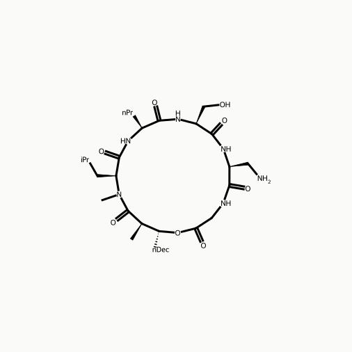 CCCCCCCCCC[C@H]1OC(=O)CNC(=O)[C@H](CN)NC(=O)[C@H](CO)NC(=O)[C@H](CCC)NC(=O)[C@H](CC(C)C)N(C)C(=O)[C@@H]1C